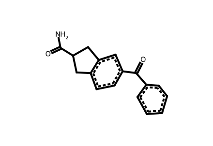 NC(=O)C1Cc2ccc(C(=O)c3ccccc3)cc2C1